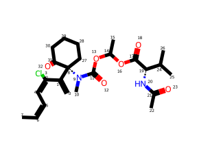 C=C(/C(Cl)=C\C=C/C)[C@]1(N(C)C(=O)OC(C)OC(=O)[C@@H](NC(C)=O)C(C)C)CCCCC1=O